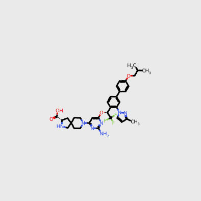 Cc1ccn(-c2cc(-c3ccc(OCC(C)C)cc3)ccc2[C@@H](Oc2cc(N3CCC4(CC3)CN[C@H](C(=O)O)C4)nc(N)n2)C(F)(F)F)n1